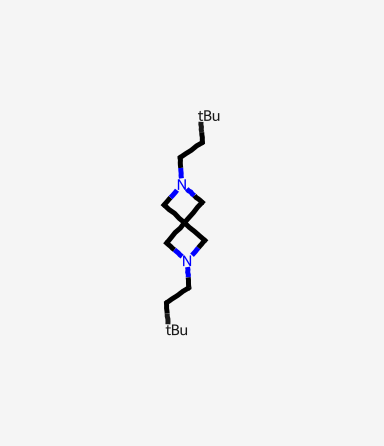 CC(C)(C)CCN1CC2(C1)CN(CCC(C)(C)C)C2